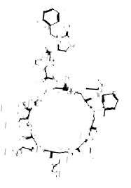 CC(C)C[C@@H]1NC(=O)[C@@H](Cc2ccccc2)NC(=O)[C@H](CCN)NC(=O)[C@@H](NC(=O)[C@@H](CO)NC(=O)[C@@H]2COC(=O)N2Cc2ccccc2)CCNC(=O)[C@H]([C@@H](C)O)NC(=O)[C@H](CCN)NC(=O)[C@H](CCN)NC1=O